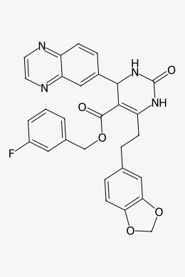 O=C1NC(CCc2ccc3c(c2)OCO3)=C(C(=O)OCc2cccc(F)c2)C(c2ccc3nccnc3c2)N1